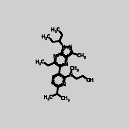 CCc1nc2c(nc1-c1ccc(C(C)C)nc1N(C)CCO)c(C)nn2C(CC)CC